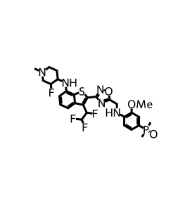 COc1cc(P(C)(C)=O)ccc1NCc1nc(-c2sc3c(NC4CCN(C)CC4F)cccc3c2C(F)C(F)F)no1